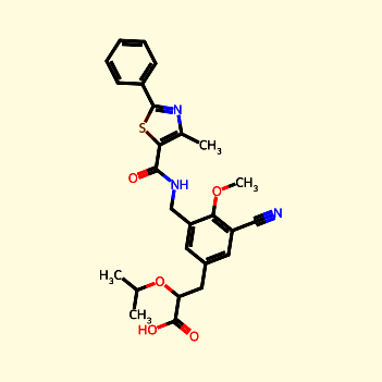 COc1c(C#N)cc(CC(OC(C)C)C(=O)O)cc1CNC(=O)c1sc(-c2ccccc2)nc1C